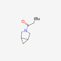 CC(C)(C)CC(=O)N1CC2CC2C1